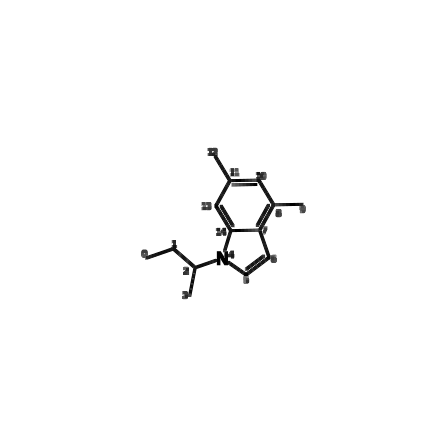 CCC(C)n1ccc2c(C)cc(C)cc21